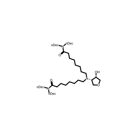 CCCCCCCCCCN(CCCCCCCCCC)C(=O)CCCCCCCN(CCCCCCCC(=O)N(CCCCCCCCCC)CCCCCCCCCC)[C@H]1COC[C@@H]1O